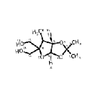 CC1[C@@H]2OC(C)(C)O[C@H]2OC1(CO)CO